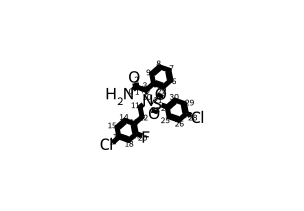 NC(=O)[C@@H](c1ccccc1)N(CCc1ccc(Cl)cc1F)S(=O)(=O)c1ccc(Cl)cc1